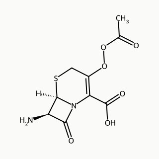 CC(=O)OOC1=C(C(=O)O)N2C(=O)[C@@H](N)[C@H]2SC1